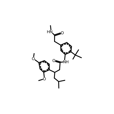 CNC(=O)Cc1ccc(C(C)(C)C)c(NC(=O)CC(CC(C)C)c2ccc(OC)cc2OC)c1